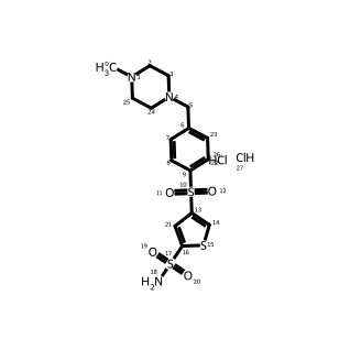 CN1CCN(Cc2ccc(S(=O)(=O)c3csc(S(N)(=O)=O)c3)cc2)CC1.Cl.Cl